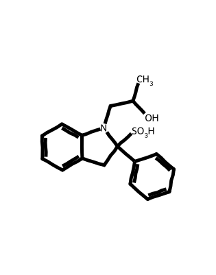 CC(O)CN1c2ccccc2CC1(c1ccccc1)S(=O)(=O)O